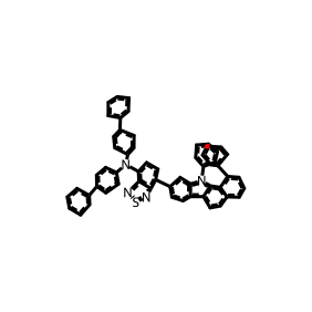 c1ccc(-c2ccc(N(c3ccc(-c4ccccc4)cc3)c3ccc(-c4ccc5c6ccc7cccc(-c8ccccc8)c7c6n(-c6ccccc6)c5c4)c4nsnc34)cc2)cc1